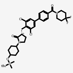 CC(C)(C)[Si](C)(C)OC1CCC(N2CC[C@@H](Cc3c(Cl)cc(-c4ccc(C(=O)N5CCC(F)(F)CC5)cc4)cc3Cl)C2=O)CC1